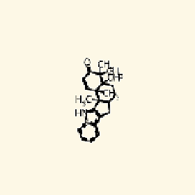 CC1(C)C(=O)C=CC2(C)C3(C)c4[nH]c5ccccc5c4CC3CCC12O